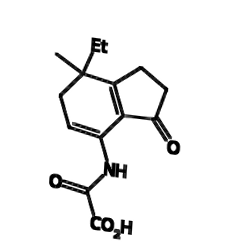 CCC1(C)CC=C(NC(=O)C(=O)O)C2=C1CCC2=O